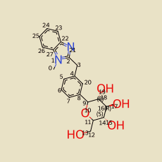 Cn1c(Cc2cccc(C3OC(CO)[C@@H](O)[C@H](O)[C@H]3O)c2)nc2ccccc21